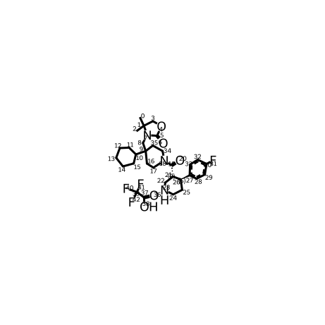 CC1(C)COC(=O)N1CC1(C2CCCCC2)CCN(C(=O)[C@H]2CNCC[C@@H]2c2ccc(F)cc2)CC1.O=C(O)C(F)(F)F